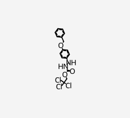 O=C(NNc1ccc(OCc2ccccc2)cc1)OCC(Cl)(Cl)Cl